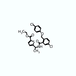 CCOC(=O)c1ccc(C(C)NC(=O)c2cc(Cl)ccc2COc2ccc(Cl)cc2)s1